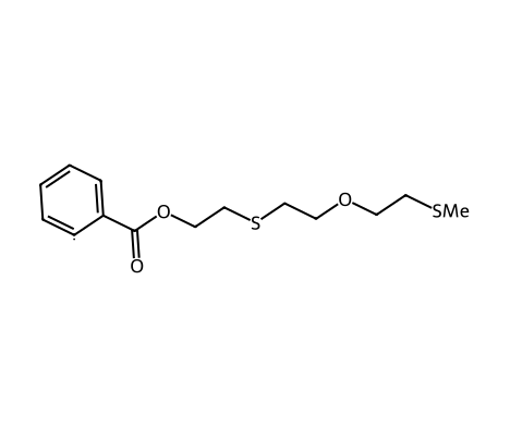 [CH2]SCCOCCSCCOC(=O)c1[c]cccc1